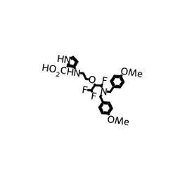 COc1ccc(CN(Cc2ccc(OC)cc2)C(F)C(OCCNc2cc[nH]c2C(=O)O)C(F)F)cc1